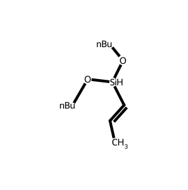 CC=C[SiH](OCCCC)OCCCC